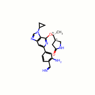 C[C@@H](Oc1nc(-c2ccc(C=N)c(N)c2)cc2ncn(C3CC3)c12)[C@H]1CNC(=O)C1